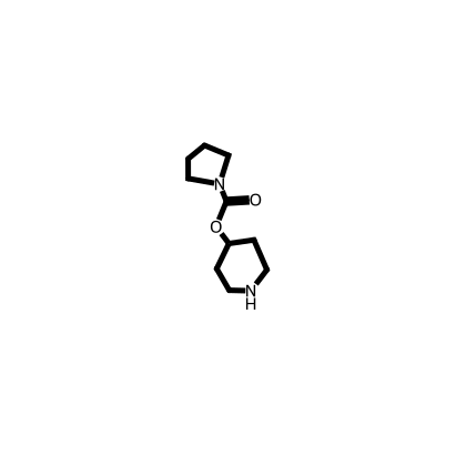 O=C(OC1CCNCC1)N1CCCC1